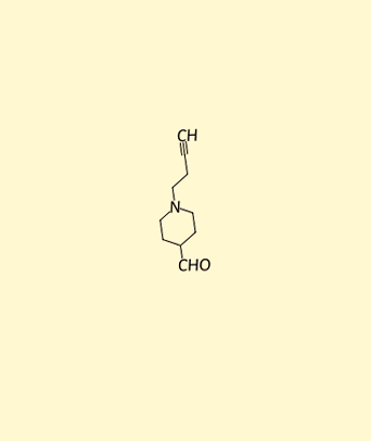 C#CCCN1CCC(C=O)CC1